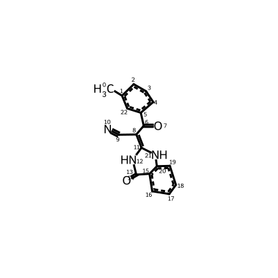 Cc1cccc(C(=O)/C(C#N)=C2/NC(=O)c3ccccc3N2)c1